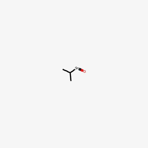 C[CH](C)[Sn]=[O]